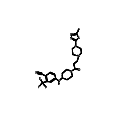 Cc1nnc(N2CCN(CCC(=O)N3CCC(Nc4ccc(C#N)c(C(F)(F)F)c4)CC3)CC2)s1